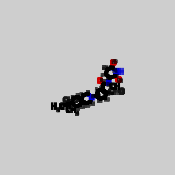 CN(C(=O)c1cc(N2CCC3(CCC(C(C)(C)C=O)CC3)CC2)ccc1C=O)C1CCC(=O)NC1=O